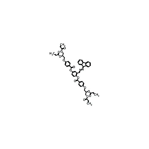 C=CC(=O)OCC(COc1ccc(C(=O)Oc2ccc(OC(=O)c3ccc(OCC(COC(=O)C=C)OC(=O)C=C)cc3)c(/C=N/N=C3c4ccccc4-c4ccccc43)c2)cc1)OC(=O)C=C